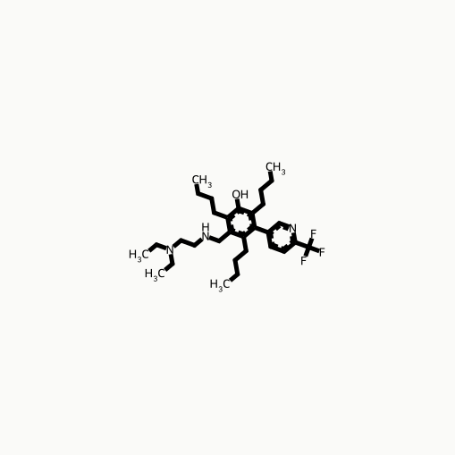 CCCCc1c(O)c(CCCC)c(-c2ccc(C(F)(F)F)nc2)c(CCCC)c1CNCCN(CC)CC